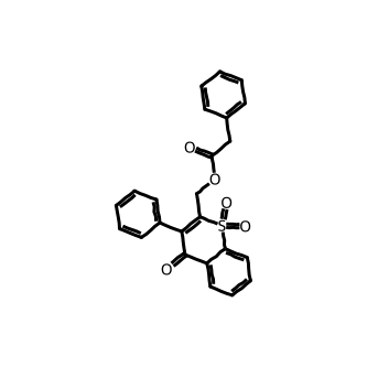 O=C(Cc1ccccc1)OCC1=C(c2ccccc2)C(=O)c2ccccc2S1(=O)=O